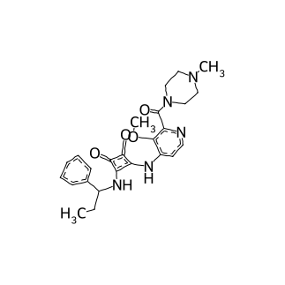 CCC(Nc1c(Nc2ccnc(C(=O)N3CCN(C)CC3)c2OC)c(=O)c1=O)c1ccccc1